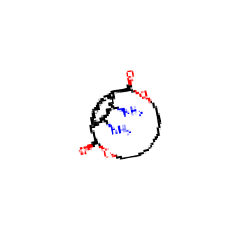 Nc1c2ccc(c1N)C(=O)OCCCCCCOC2=O